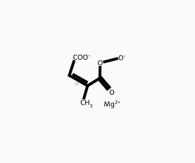 C/C(=C/C(=O)[O-])C(=O)O[O-].[Mg+2]